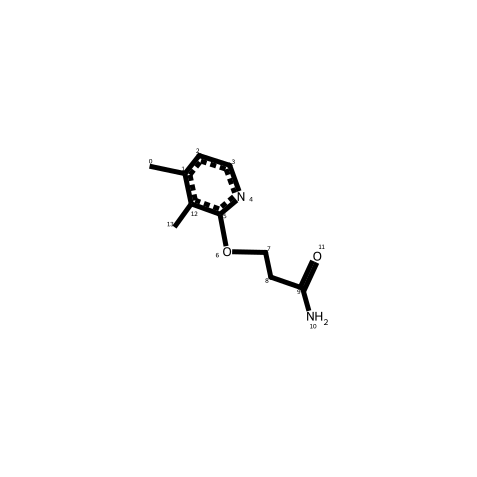 Cc1ccnc(OCCC(N)=O)c1C